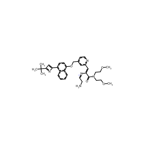 COCCN(CCOC)C(=O)C(=Cc1cc(COc2ccc(C3=CC(C(C)(C)C)=N3)c3ccccc23)ccn1)/N=C\CN